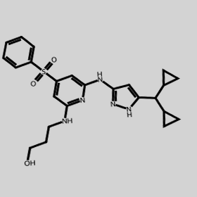 O=S(=O)(c1ccccc1)c1cc(NCCCO)nc(Nc2cc(C(C3CC3)C3CC3)[nH]n2)c1